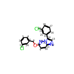 Clc1cccc(COc2ccc3ncc(-c4cccc(Cl)c4)n3n2)c1